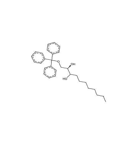 CCCCCCCCC(O)[C@H](O)COC(c1ccccc1)(c1ccccc1)c1ccccc1